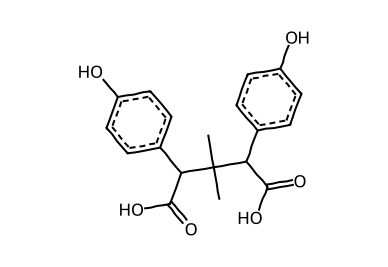 CC(C)(C(C(=O)O)c1ccc(O)cc1)C(C(=O)O)c1ccc(O)cc1